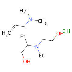 C=CCN(C)C.CCC(CO)N(CC)CCO.Cl